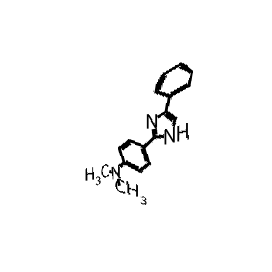 CN(C)c1ccc(-c2nc(-c3ccccc3)c[nH]2)cc1